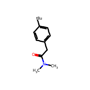 CN(C)C(=O)Cc1ccc(C(C)(C)C)cc1